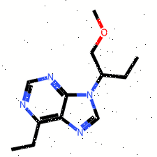 CCc1ncnc2c1ncn2C(CC)COC